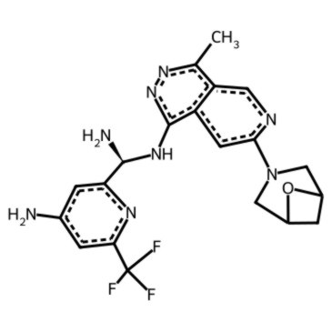 Cc1nnc(N[C@H](N)c2cc(N)cc(C(F)(F)F)n2)c2cc(N3CC4CC(C3)O4)ncc12